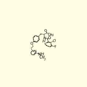 CNc1cccc(CCOc2ccc(C[C@H](NC(=O)c3cccc(F)c3Cl)C(=O)O)cc2)n1